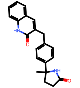 CC1(c2ccc(Cc3cc4ccccc4[nH]c3=O)cc2)CCC(=O)N1